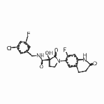 O=C1CCc2cc(N3CCC(O)(C(=O)NCc4cc(F)cc(Cl)c4)C3=O)c(F)cc2N1